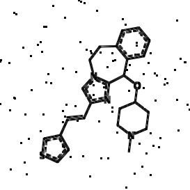 CN1CCC(OC2c3ccccc3CCn3cc(C=Cc4ccsc4)nc32)CC1